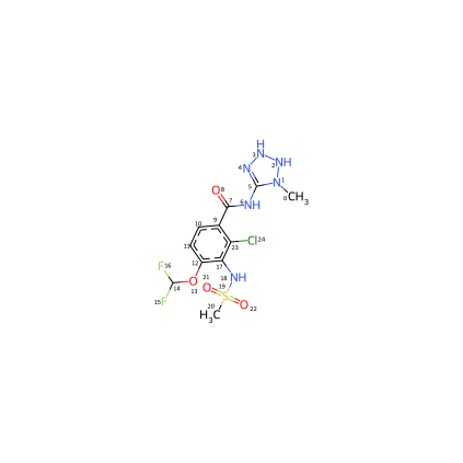 CN1NNN=C1NC(=O)c1ccc(OC(F)F)c(NS(C)(=O)=O)c1Cl